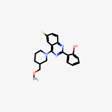 COCC1CCCN(c2nc(-c3ccccc3O)nc3ccc(F)cc23)C1